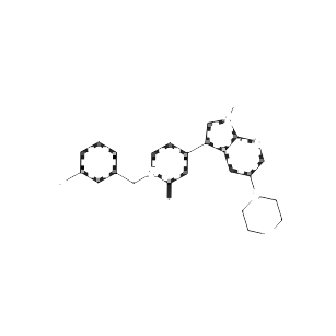 Cn1cc(-c2ccn(Cc3cccc(Br)c3)c(=O)c2)c2cc(N3CCOCC3)cnc21